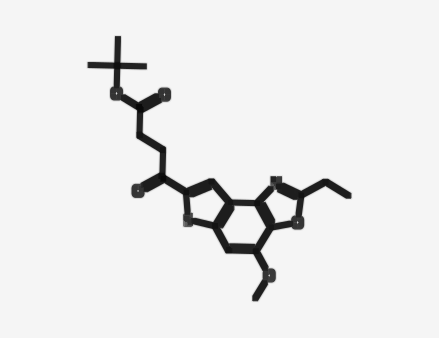 CCc1nc2c(o1)c(OC)cc1sc(C(=O)CCC(=O)OC(C)(C)C)cc12